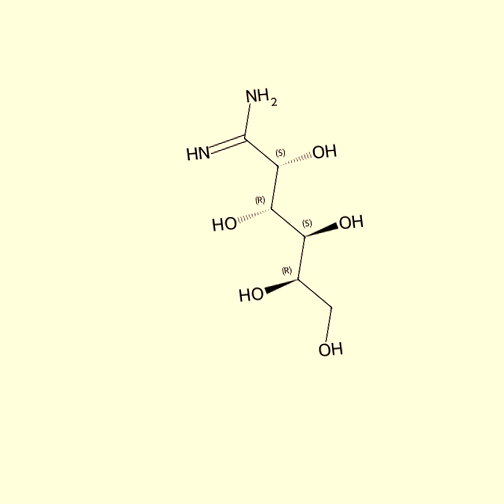 N=C(N)[C@H](O)[C@@H](O)[C@@H](O)[C@H](O)CO